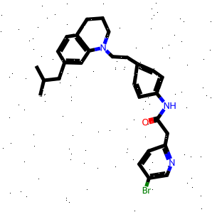 CC(C)Cc1ccc2c(c1)N(CCc1ccc(NC(=O)Cc3ccc(Br)cn3)cc1)CCC2